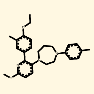 CCOc1ccc(-c2nc(OC)ccc2N2CCCN(c3ccc(C)cc3)CC2)cc1C